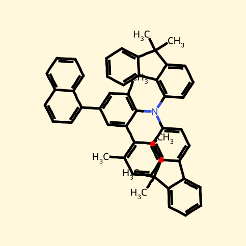 Cc1cccc(C)c1-c1cc(-c2cccc3ccccc23)cc(C)c1N(c1ccc2c(c1)C(C)(C)c1ccccc1-2)c1cccc2c1-c1ccccc1C2(C)C